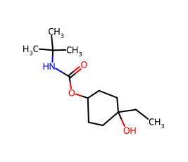 CCC1(O)CCC(OC(=O)NC(C)(C)C)CC1